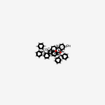 C[C@]12CC[C@H]3[C@@H](CC[C@H]4C[C@@H](O)CC[C@@]43CO[Si](c3ccccc3)(c3ccccc3)c3ccccc3)[C@@H]1CC[C@@H]2O[Si](c1ccccc1)(c1ccccc1)c1ccccc1